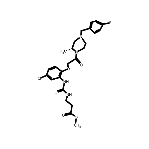 COC(=O)CCNC(=O)Nc1cc(Cl)ccc1OCC(=O)N1CCN(Cc2ccc(F)cc2)C[C@H]1C